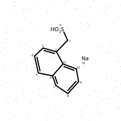 O=S(=O)(O)Cc1cccc2ccccc12.[Na]